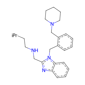 CC(C)CCNCc1nc2ccccc2n1Cc1ccccc1CN1CCCCC1